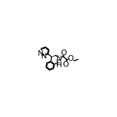 CCOC(=O)C(=O)NC[C@H](c1cccnn1)c1ccccc1F